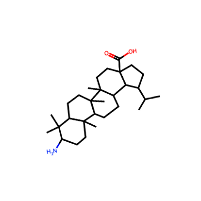 CC(C)C1CCC2(C(=O)O)CCC3(C)C(CCC4C5(C)CCC(N)C(C)(C)C5CCC43C)C12